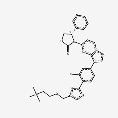 C[Si](C)(C)CCOCn1cnc(-c2ccc(-c3cnn4ccc(N5C(=O)OC[C@@H]5c5cccnc5)nc34)cc2F)n1